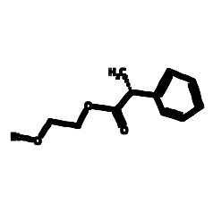 CCOCCOC(=O)[C@H](C)c1ccccc1